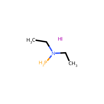 CCN(P)CC.I